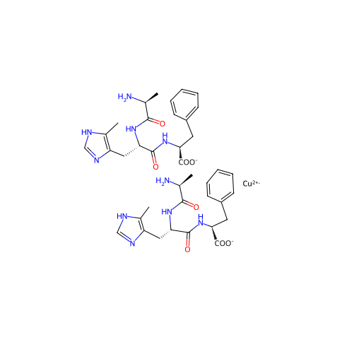 Cc1[nH]cnc1C[C@H](NC(=O)[C@H](C)N)C(=O)N[C@@H](Cc1ccccc1)C(=O)[O-].Cc1[nH]cnc1C[C@H](NC(=O)[C@H](C)N)C(=O)N[C@@H](Cc1ccccc1)C(=O)[O-].[Cu+2]